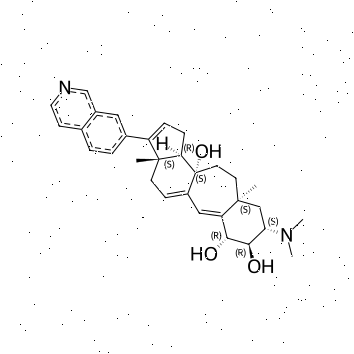 CN(C)[C@H]1C[C@]2(C)CC[C@@]3(O)C(=CC[C@]4(C)C(c5ccc6ccncc6c5)=CC[C@@H]34)C=C2[C@@H](O)[C@@H]1O